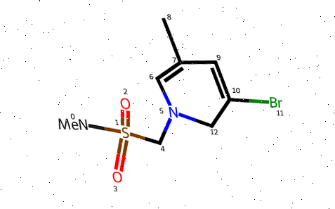 CNS(=O)(=O)CN1C=C(C)C=C(Br)C1